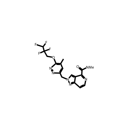 CNC(=O)c1nccc2nn(Cc3cc(C)c(OCC(F)(F)C(F)F)nn3)cc12